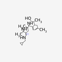 C=C(C/C(=C/NCC1CC1)C(C)=N)C(=N)C1=CC=C(C)CC1C(C)CO